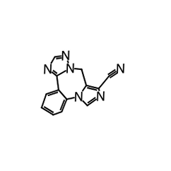 N#Cc1ncn2c1Cn1ncnc1-c1ccccc1-2